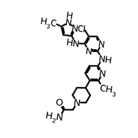 Cc1cc(Nc2nc(Nc3ccc(C4CCN(CC(N)=O)CC4)c(C)n3)ncc2Cl)n[nH]1